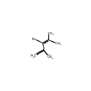 C=C(C)C(Br)=C(C)C